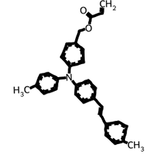 C=CC(=O)OCc1ccc(N(c2ccc(C)cc2)c2ccc(C=Cc3ccc(C)cc3)cc2)cc1